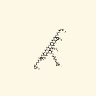 C=CCCCCCCCCCCCCCCC(CCCCCCCCCCCCC=C)=C(C(=CCCCCCC)CCCCCCCCC=C)C(C)CCCCCCC